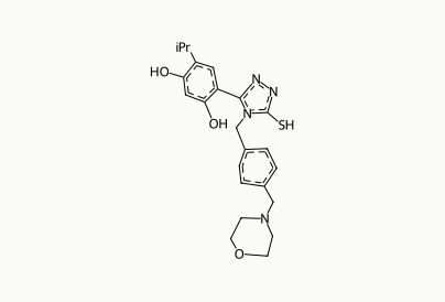 CC(C)c1cc(-c2nnc(S)n2Cc2ccc(CN3CCOCC3)cc2)c(O)cc1O